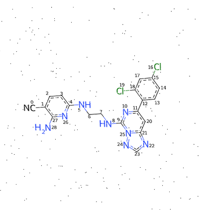 N#Cc1ccc(NCCNc2nc(-c3ccc(Cl)cc3Cl)cc3ncnn23)nc1N